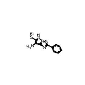 CCSc1[nH]n2nc(-c3ccccc3)nc2c1N